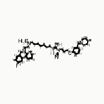 CN(CCCCCCCNC(=N)N(C#N)CCCOc1cccc(CN2CCCCC2)c1)CCN(Cc1ccc(F)cc1)c1ccccn1